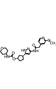 COc1cc(CC(=O)Nc2cc([C@H]3CC[C@@H](OC(=O)NC4CCOCC4)C3)[nH]n2)ccn1